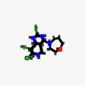 Fc1nc(N2CCCOCC2)c2cnc(Cl)c(F)c2n1